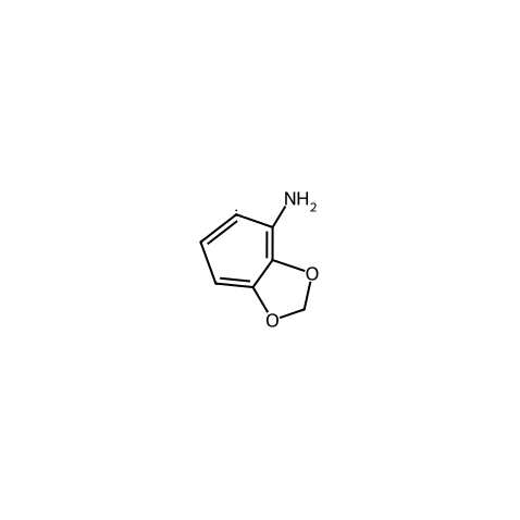 Nc1[c]ccc2c1OCO2